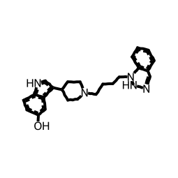 Oc1ccc2[nH]cc(C3CCN(CCCCN4NN=Cc5ccccc54)CC3)c2c1